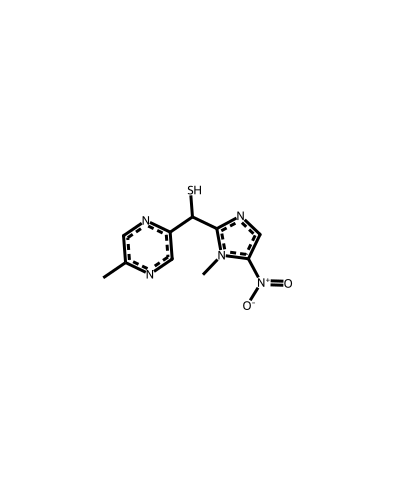 Cc1cnc(C(S)c2ncc([N+](=O)[O-])n2C)cn1